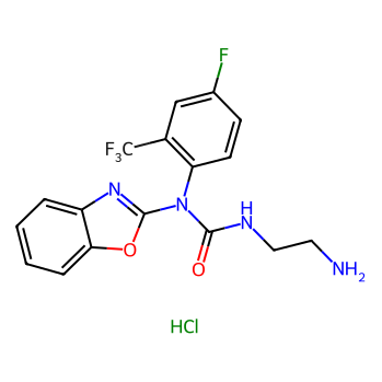 Cl.NCCNC(=O)N(c1nc2ccccc2o1)c1ccc(F)cc1C(F)(F)F